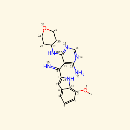 COc1cccc2cc(C(=N)c3c(N)ncnc3NC3CCOCC3)[nH]c12